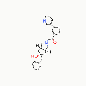 O=C(CN1C[C@@H]2C[C@](O)(Cc3ccccc3)C[C@@H]2C1)c1cccc(-c2cccnc2)c1